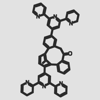 Cc1c2ccc(-c3cc(C4=NC=CCC4)nc(-c4ccccn4)c3)c1-c1ccccc1C(=O)Cc1cc(-c3cc(C4=NCCC=C4)nc(-c4ccccn4)c3)ccc1-2